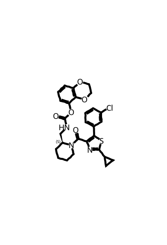 O=C(NC[C@@H]1CCCCN1C(=O)c1nc(C2CC2)sc1-c1cccc(Cl)c1)Oc1cccc2c1OCCO2